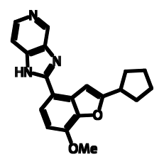 COc1ccc(-c2nc3cnccc3[nH]2)c2cc(C3CCCC3)oc12